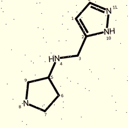 c1cc(CNC2CC[N]C2)[nH]n1